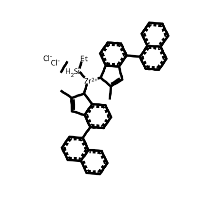 CC.CC[SiH2][Zr+2]([CH]1C(C)=Cc2c(-c3cccc4ccccc34)cccc21)[CH]1C(C)=Cc2c(-c3cccc4ccccc34)cccc21.[Cl-].[Cl-]